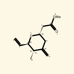 C=C[C@H]1O[C@H](CC(=O)OC)CC(=C)[C@@H]1C